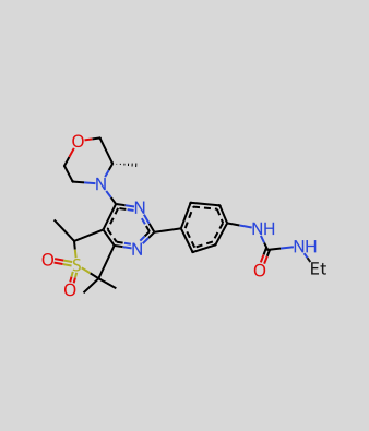 CCNC(=O)Nc1ccc(-c2nc(N3CCOC[C@@H]3C)c3c(n2)C(C)(C)S(=O)(=O)C3C)cc1